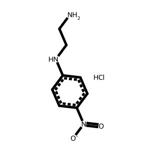 Cl.NCCNc1ccc([N+](=O)[O-])cc1